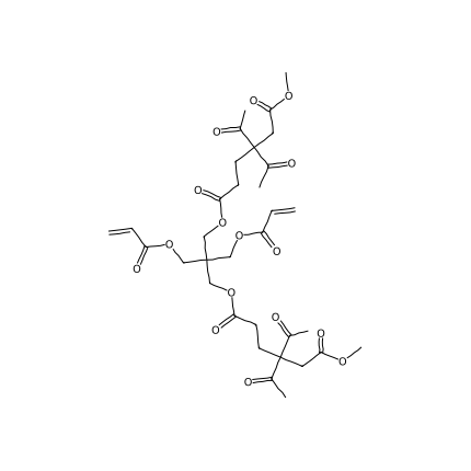 C=CC(=O)OCC(COC(=O)C=C)(COC(=O)CCC(CC(=O)OC)(C(C)=O)C(C)=O)COC(=O)CCC(CC(=O)OC)(C(C)=O)C(C)=O